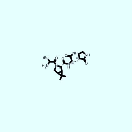 CC(C)(C)C(N)C(=O)N1CC2C([C@H]1C(=O)N[C@@H](C[C@@H]1CCNC1=O)C(N)=O)C2(C)C